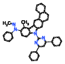 C=NN(c1ccccc1)c1ccc2c(c1C)c1cc3c(ccc4ccccc43)cc1n2-c1nc(-c2ccccc2)cc(-c2ccccc2)n1